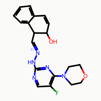 OC1C=Cc2ccccc2C1/C=N/Nc1ncc(F)c(N2CCOCC2)n1